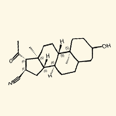 CC(=O)[C@H]1[C@H](C#N)C[C@H]2[C@@H]3CCC4CC(O)CC[C@]4(C)[C@H]3CC[C@@]21C